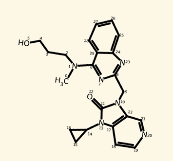 CN(CCCO)c1nc(Cn2c(=O)n(C3CC3)c3ccncc32)nc2ccccc12